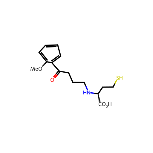 COc1ccccc1C(=O)CCCN[C@@H](CCS)C(=O)O